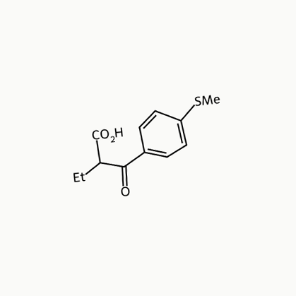 CCC(C(=O)O)C(=O)c1ccc(SC)cc1